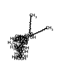 CCCCCCCCCCCCC/C=C/[C@@H](O)[C@H](CO[C@@H]1OC(CO)[C@@H](O[C@@H]2OC(CO)[C@H](O[C@@H]3OC(CO)[C@H](O)[C@H](O)C3NC(C)=O)[C@H](O[C@@H]3OC(CO)[C@@H](O[C@@H]4OC(CO)[C@H](O)[C@H](O[C@H]5OC(CO)[C@H](O)[C@H](O)C5O)C4O)[C@H](O)C3NC(C)=O)C2O)[C@H](O)C1O)NC(=O)CCCCCCCCCCCCCCC